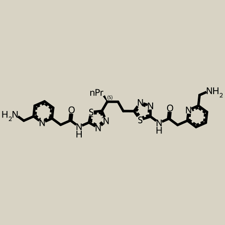 CCC[C@@H](CCc1nnc(NC(=O)Cc2cccc(CN)n2)s1)c1nnc(NC(=O)Cc2cccc(CN)n2)s1